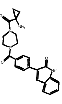 NC1(C(=O)N2CCN(C(=O)c3ccc(-c4cc5ccccc5[nH]c4=O)cc3)CC2)CC1